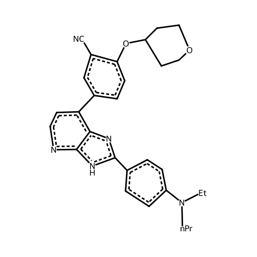 CCCN(CC)c1ccc(-c2nc3c(-c4ccc(OC5CCOCC5)c(C#N)c4)ccnc3[nH]2)cc1